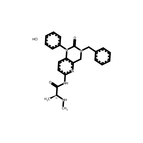 CN[C@@H](C)C(=O)Nc1ccc2c(n1)CN(Cc1ccccc1)C(=O)N2c1ccccc1.Cl